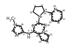 Cn1cnc(Nc2nc(N3CCC[C@H]3c3ccccn3)nn3cccc23)c1